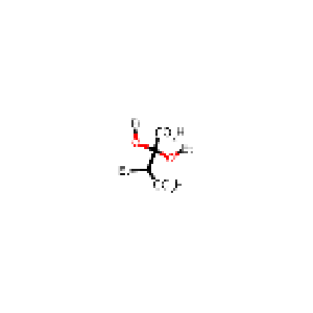 CCOC(OCC)(C(=O)O)C(CC)C(=O)O